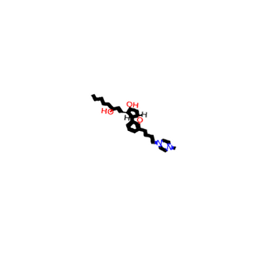 CCCCC[C@H](O)/C=C/[C@@H]1[C@H]2c3cccc(CCCCN4CCN(C)CC4)c3O[C@H]2C[C@H]1O